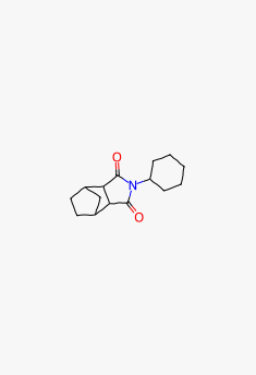 O=C1C2C3CCC(C3)C2C(=O)N1C1CCCCC1